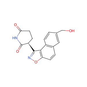 O=C1CC[C@@H](c2noc3ccc4cc(CO)ccc4c23)C(=O)N1